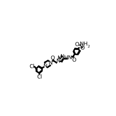 NS(=O)(=O)c1ccc(C(=O)NCc2cn(CC(=O)N3CCN(c4cc(Cl)cc(Cl)c4)CC3)nn2)cc1